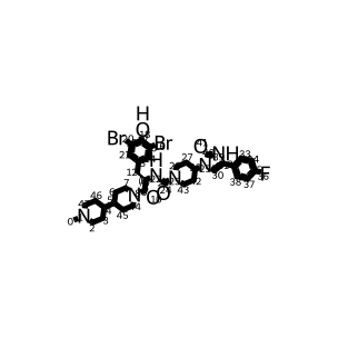 CN1CCC(C2CCN(C(=O)[C@@H](Cc3cc(Br)c(O)c(Br)c3)NC(=O)N3CCC(n4cc(-c5ccc(F)cc5)[nH]c4=O)CC3)CC2)CC1